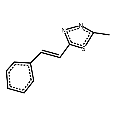 Cc1nnc(C=Cc2ccccc2)s1